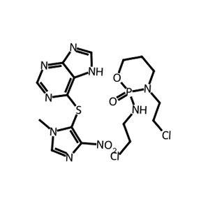 Cn1cnc([N+](=O)[O-])c1Sc1ncnc2nc[nH]c12.O=P1(NCCCl)OCCCN1CCCl